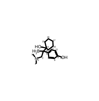 BC(CN(C)C)(c1ccc(O)cc1)C1(O)CCCCC1